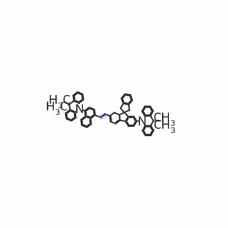 CC1(C)c2ccccc2N(c2ccc3c(c2)C2(Cc4ccccc4C2)C2CC(/C=C/c4ccc(N5c6ccccc6C(C)(C)c6ccccc65)c5ccccc45)=CC=C32)c2ccccc21